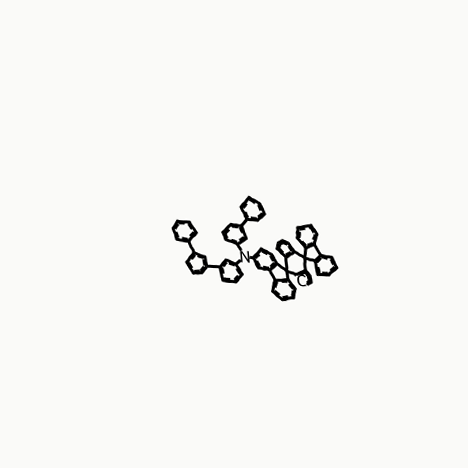 c1ccc(-c2cccc(-c3cccc(N(c4cccc(-c5ccccc5)c4)c4ccc5c(c4)-c4ccccc4C54c5ccccc5C5(c6ccccc6-c6ccccc65)c5ccccc54)c3)c2)cc1